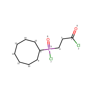 O=C(Cl)CCP(=O)(Cl)C1CCCCCCC1